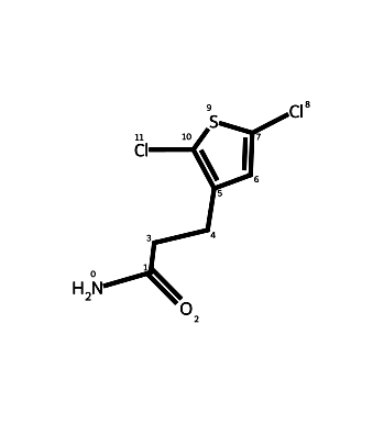 NC(=O)CCc1cc(Cl)sc1Cl